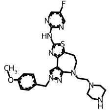 COc1ccc(Cn2cc3c(n2)N(CCN2CCNCC2)CCc2sc(Nc4ncc(F)cn4)nc2-3)cc1